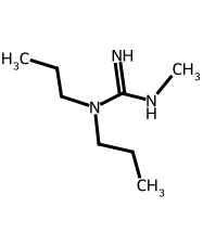 CCCN(CCC)C(=N)NC